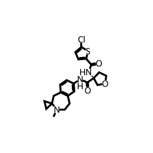 CN1CCc2cc(NC(=O)[C@@]3(NC(=O)c4ccc(Cl)s4)CCOC3)ccc2CC12CC2